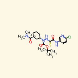 CN(C)C(=O)[C@H]1CCCC(N(NC(=S)C(=O)Nc2ccc(Cl)nc2)C(=O)OC(C)(C)C)C1